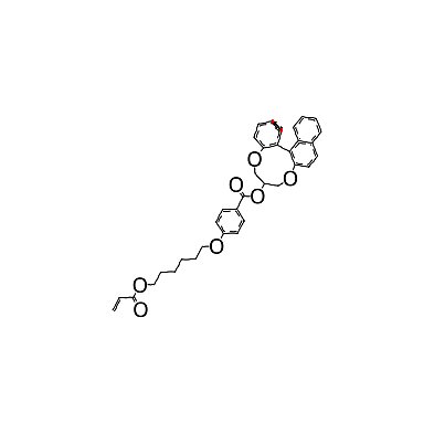 C=CC(=O)OCCCCCCOc1ccc(C(=O)OC2COc3ccc4ccccc4c3-c3c(ccc4ccccc34)OC2)cc1